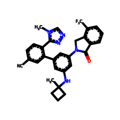 Cn1cnnc1-c1ccc(C#N)cc1-c1cc(NC2(C)CCC2)cc(N2Cc3c(cccc3C(F)(F)F)C2=O)c1